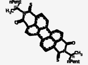 CCCCC[C@@H](C)N1C(=O)c2ccc3c4ccc5c6c(ccc(c7ccc(c2c73)C1=S)c64)C(=O)N([C@@H](C)CCCCC)C5=S